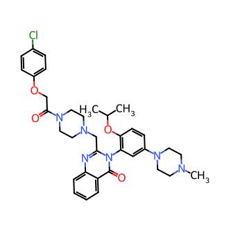 CC(C)Oc1ccc(N2CCN(C)CC2)cc1-n1c(CN2CCN(C(=O)COc3ccc(Cl)cc3)CC2)nc2ccccc2c1=O